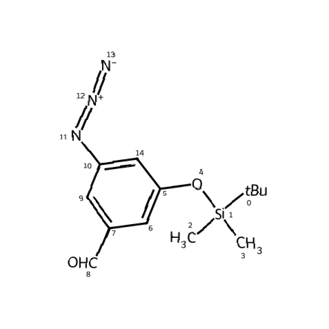 CC(C)(C)[Si](C)(C)Oc1cc(C=O)cc(N=[N+]=[N-])c1